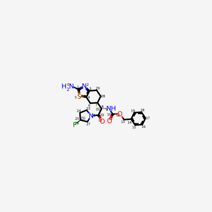 Nc1nc2c(s1)CC([C@H](NC(=O)OCc1ccccc1)C(=O)N1CC[C@H](F)C1)CC2